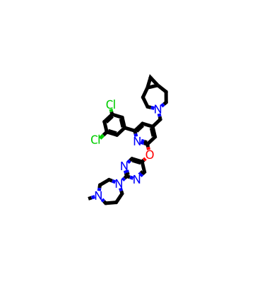 CN1CCCN(c2ncc(Oc3cc(CN4CCC5CC5CC4)cc(-c4cc(Cl)cc(Cl)c4)n3)cn2)CC1